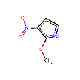 COc1[nH]ccc1[N+](=O)[O-]